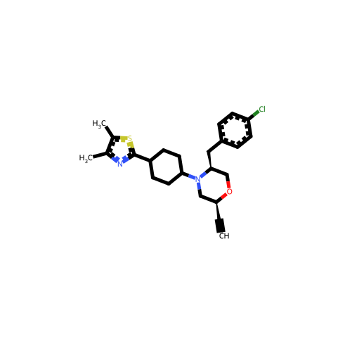 C#C[C@H]1CN(C2CCC(c3nc(C)c(C)s3)CC2)[C@@H](Cc2ccc(Cl)cc2)CO1